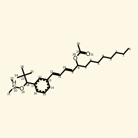 CCCCCCCCC(C=CC=Cc1cccc(C(O[SiH](C)C)C(C)(C)C)c1)OC(C)=O